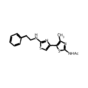 CC(=O)Nc1nc(C)c(-c2csc(NCCc3ccccc3)n2)s1